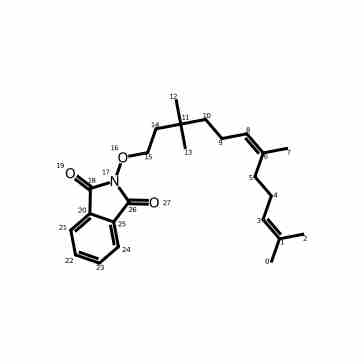 CC(C)=CCCC(C)=CCCC(C)(C)CCON1C(=O)c2ccccc2C1=O